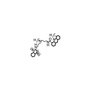 Cc1cccc2cc3cccc(C(=O)NCCCN(C)CCCNc4n[n+]([O-])c5ccccc5[n+]4[O-])c3nc12